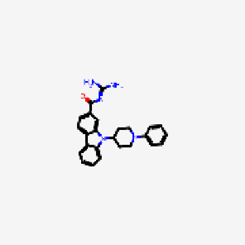 NC(N)=NC(=O)c1ccc2c3ccccc3n(C3CCN(c4ccccc4)CC3)c2c1